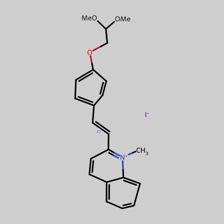 COC(COc1ccc(/C=C/c2ccc3ccccc3[n+]2C)cc1)OC.[I-]